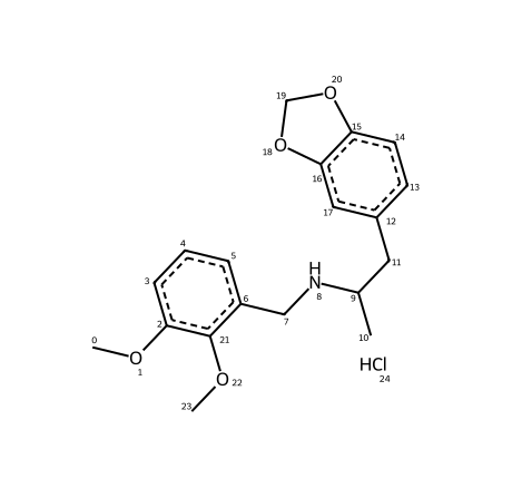 COc1cccc(CNC(C)Cc2ccc3c(c2)OCO3)c1OC.Cl